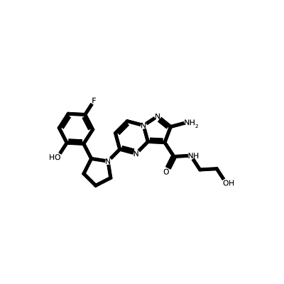 Nc1nn2ccc(N3CCCC3c3cc(F)ccc3O)nc2c1C(=O)NCCO